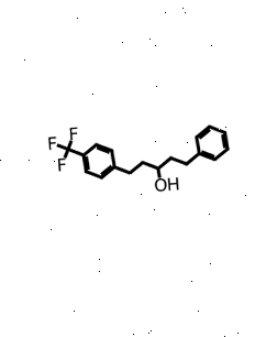 OC(CCc1ccccc1)CCc1ccc(C(F)(F)F)cc1